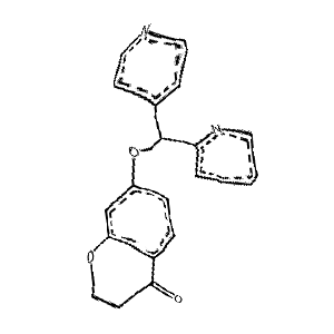 O=C1CCOc2cc(OC(c3ccncc3)c3ccccn3)ccc21